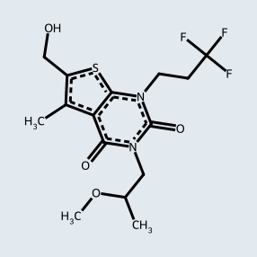 COC(C)Cn1c(=O)c2c(C)c(CO)sc2n(CCC(F)(F)F)c1=O